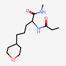 CCC(=O)NC(CCCC1CCOCC1)C(=O)NC